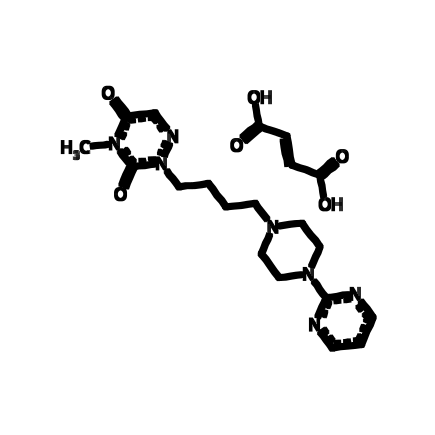 Cn1c(=O)cnn(CCCCN2CCN(c3ncccn3)CC2)c1=O.O=C(O)/C=C/C(=O)O